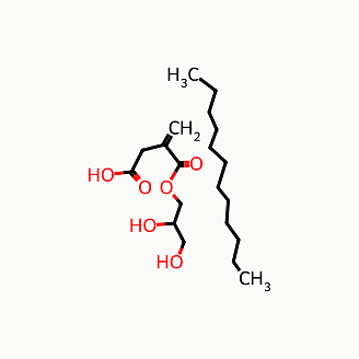 C=C(CC(=O)O)C(=O)OCC(O)CO.CCCCCCCCCCCC